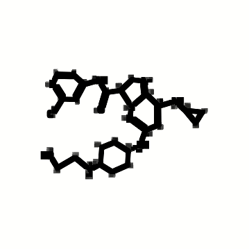 O=C(Nc1ccnc(Cl)c1)C1CN=C2C(NC3CC3)=CC(N[C@H]3CC[C@H](NCCO)CC3)=NN21